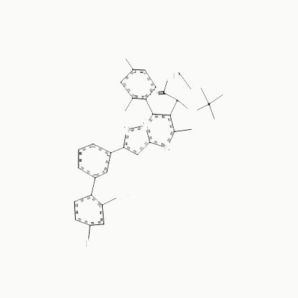 CC[C@@](OC(C)(C)C)(C(=O)O)c1c(C)nc2cc(-c3cccc(-c4ccc(F)cc4O)c3)nn2c1-c1ccc(F)cc1O